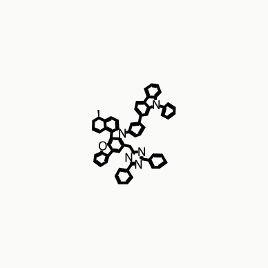 C[C@@H]1CC=Cc2c1ccc1c2c2c3oc4ccccc4c3cc(Cc3nc(-c4ccccc4)nc(-c4ccccc4)n3)c2n1-c1cccc(-c2ccc3c4ccccc4n(-c4ccccc4)c3c2)c1